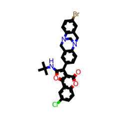 CC(C)(C)Nc1oc2c(c1-c1ccc3c(c1)CN1CN3Cc3cc(Br)ccc31)c(=O)oc1ccc(Cl)cc12